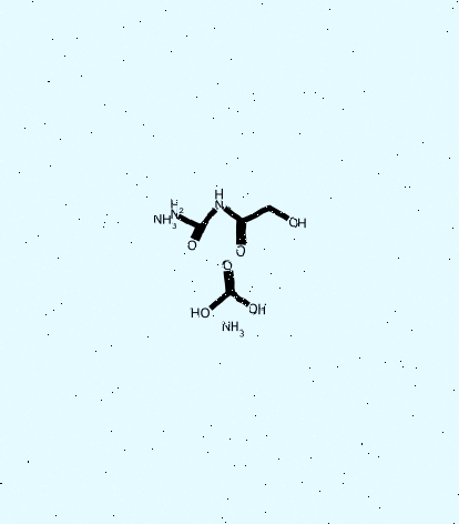 N.N.NC(=O)NC(=O)CO.O=C(O)O